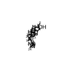 CC[C@@]1(O)CC[C@H]2[C@@H](CC[C@@H]3[C@@H]2CC[C@]2(C)[C@@H]([C@H](C)Cn4nnc(C)n4)CC[C@@H]32)C1